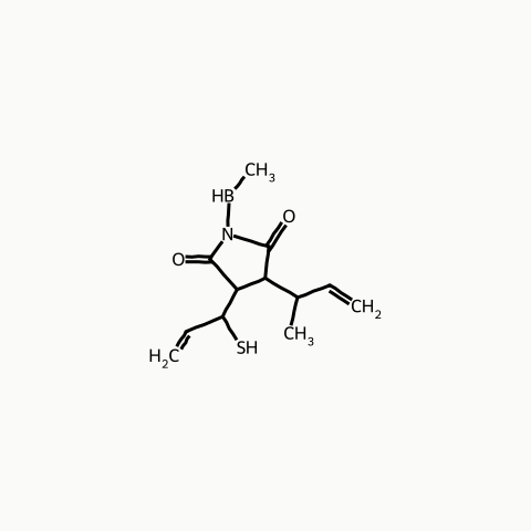 C=CC(C)C1C(=O)N(BC)C(=O)C1C(S)C=C